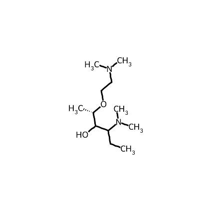 CCC(C(O)[C@H](C)OCCN(C)C)N(C)C